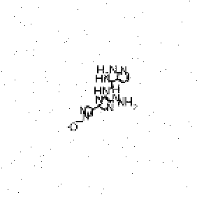 COCCn1cc(-c2cnc(NN)c(NCC(=N)c3cccnc3N)n2)cn1